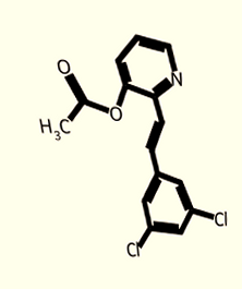 CC(=O)Oc1cccnc1/C=C/c1cc(Cl)cc(Cl)c1